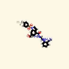 Cc1ccc(S(=O)(=O)n2ccc3c(C(=O)NCCNc4ccccc4C#N)cc(C=O)cc32)cc1